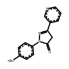 CCCCc1ccc(N2N=C(c3cccnc3)CC2=O)cc1